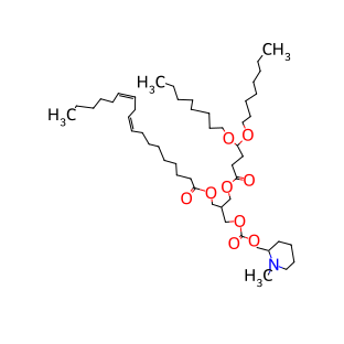 CCCCC/C=C\C/C=C\CCCCCCCC(=O)OCC(COC(=O)CCC(OCCCCCCCC)OCCCCCCCC)COC(=O)OCC1CCCCN1C